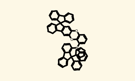 C1=CC2=C(CC1)c1cc3c(cc1C21c2ccccc2-c2ccccc21)Oc1cccc(N(c2ccccc2)c2cccc4c2C(c2ccccc2)(c2ccccc2)c2ccccc2-4)c1O3